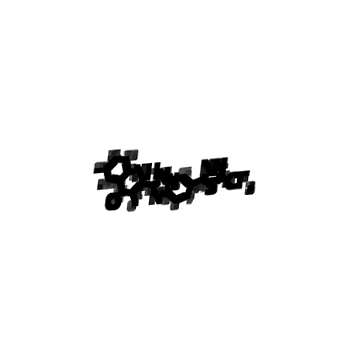 Cc1c(-c2nc3ccc(-c4nnc(C(F)(F)F)s4)cn3n2)[nH]c2ccccc2c1=O